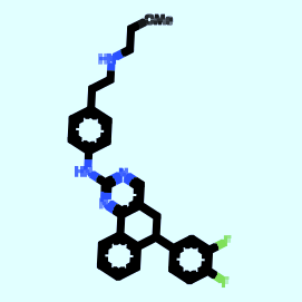 COCCNCCc1ccc(Nc2ncc3c(n2)-c2ccccc2C(c2ccc(F)c(F)c2)C3)cc1